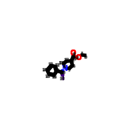 CCOC(=O)C1CCN(C(I)c2ccccc2)CC1